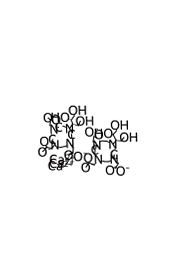 O=C([O-])CN1CCN(CC(=O)[O-])CCN([C@H](CO)[C@H](O)CO)CCN(CC(=O)[O-])CC1.O=C([O-])CN1CCN(CC(=O)[O-])CCN([C@H](CO)[C@H](O)CO)CCN(CC(=O)[O-])CC1.[Ca+2].[Ca+2].[Ca+2]